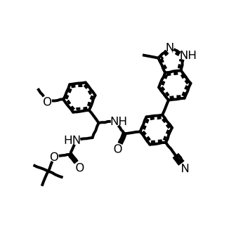 COc1cccc(C(CNC(=O)OC(C)(C)C)NC(=O)c2cc(C#N)cc(-c3ccc4[nH]nc(C)c4c3)c2)c1